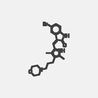 Cc1[nH]c(C=C2C(=O)Nc3ccc(Br)cc32)c(C)c1CCCN1CCOCC1